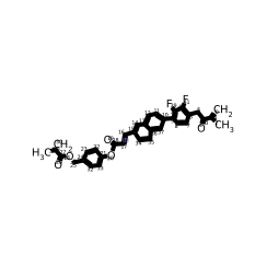 C=C(C)C(=O)Cc1ccc(-c2ccc3cc(/C=C/C(=O)Oc4ccc(COC(=O)C(=C)C)cc4)ccc3c2)c(F)c1F